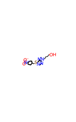 O=[N+]([O-])c1ccc(CSc2ncnc3c2ncn3CCCCO)cc1